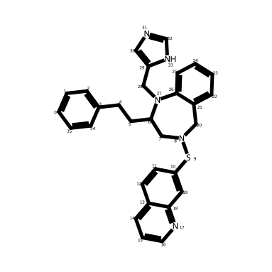 c1ccc(CCC2CN(Sc3ccc4cccnc4c3)Cc3ccccc3N2Cc2cnc[nH]2)cc1